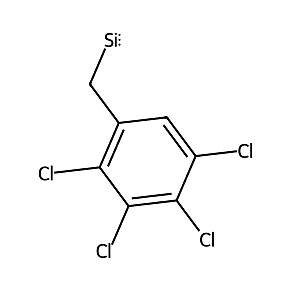 [Si]Cc1cc(Cl)c(Cl)c(Cl)c1Cl